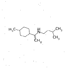 C=C(NCCC(C)C)C1CCC(C)CC1